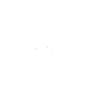 NC1=CN(CCCO)N(CCCO)N1CCCO